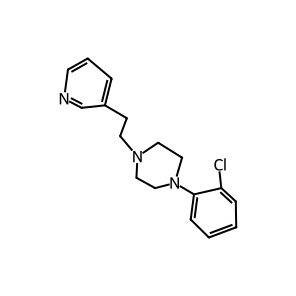 Clc1ccccc1N1CCN(CCc2cccnc2)CC1